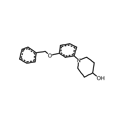 OC1CCN(c2cccc(OCc3ccccc3)c2)CC1